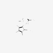 CCCCCCCCCC(=O)[NH][Ti+2]([C]1=C(C)C(C)=C(C)C1C)[SiH](C)C.[Cl-].[Cl-]